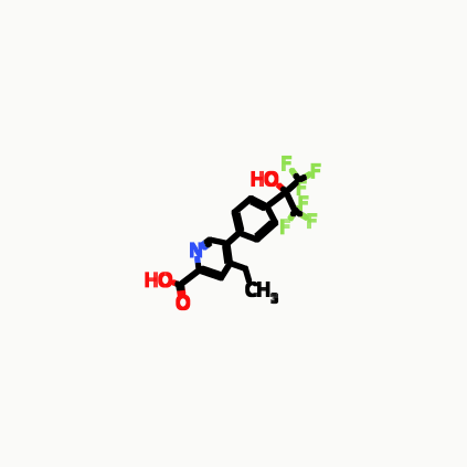 CCc1cc(C(=O)O)ncc1-c1ccc(C(O)(C(F)(F)F)C(F)(F)F)cc1